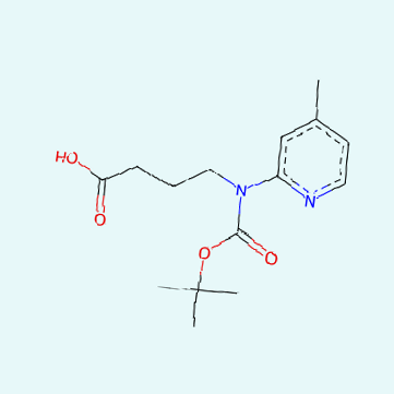 Cc1ccnc(N(CCCC(=O)O)C(=O)OC(C)(C)C)c1